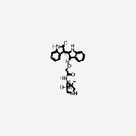 O=C(CO/N=C1/C(=C2/C(=O)Nc3ccccc32)Nc2ccccc21)N[C@H]1[C@@H]2CNC[C@@H]21